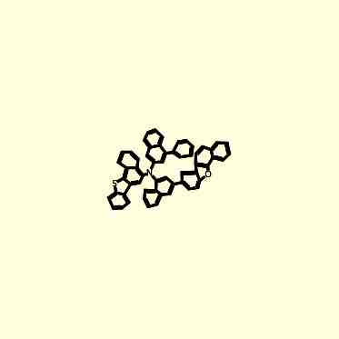 c1ccc(-c2cc(N(c3cc(-c4ccc5oc6c7ccccc7ccc6c5c4)cc4ccccc34)c3cc4c5ccccc5sc4c4ccccc34)cc3ccccc23)cc1